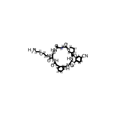 N#Cc1ccc(C[C@@H]2NC(=O)[C@@H]3CCCN(C3)C(=O)/C=C/C(=O)NCC[C@@H](C(=O)NCCOCCN)NC(=O)Cc3ccccc3CNC2=O)cc1